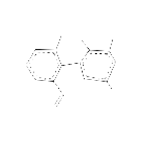 O=Cc1cccc(F)c1-c1cc(F)cc(F)c1F